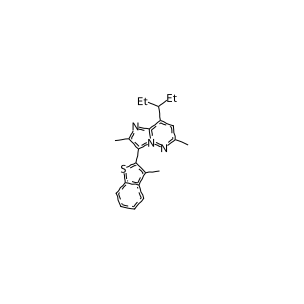 CCC(CC)c1cc(C)nn2c(-c3sc4ccccc4c3C)c(C)nc12